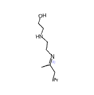 C/C(CC(C)C)=N\CCNCCO